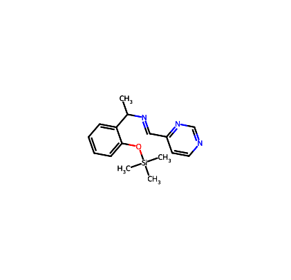 CC(N=Cc1ccncn1)c1ccccc1O[Si](C)(C)C